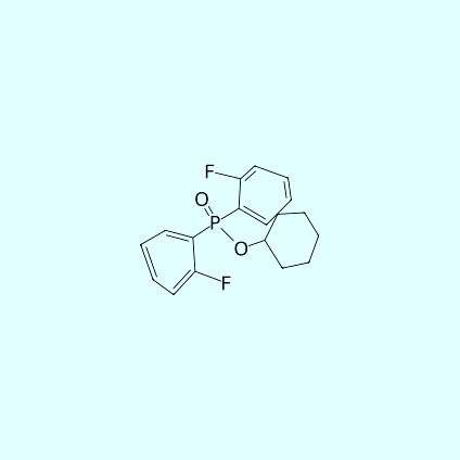 O=P(OC1CCCCC1)(c1ccccc1F)c1ccccc1F